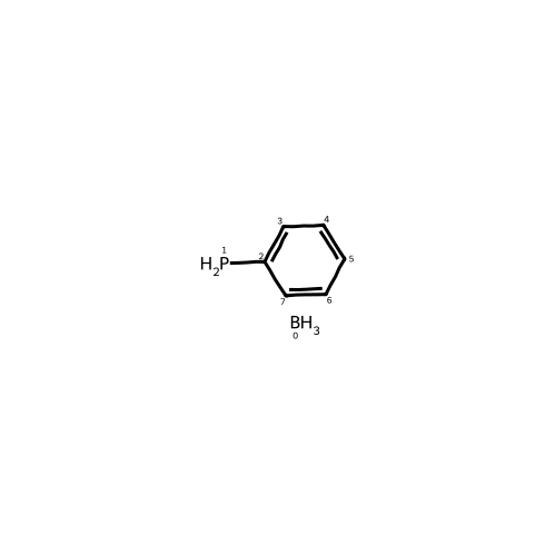 B.Pc1ccccc1